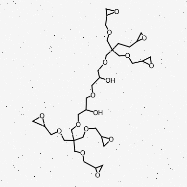 OC(COCC(O)COCC(COCC1CO1)(COCC1CO1)COCC1CO1)COCC(CCC1CO1)(COCC1CO1)COCC1CO1